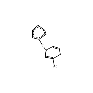 CC(=O)C1=CN(Cc2ccccc2)C=CC1